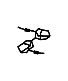 CC#CC12CC3CC(C1)CC(C1C4CC5CC(C4)CC1(C#CC)C5)(C3)C2